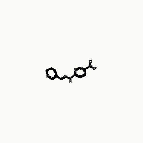 O=[N+]([O-])c1ccc(NN=Cc2cccnc2)nc1